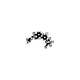 N#Cc1nn(-c2cc(Cl)c(Oc3ccc4c(c3)CCN(COCC(F)(F)F)C4=O)c(Cl)c2)c(=O)[nH]c1=O